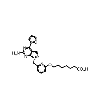 Nc1nc(-c2ccco2)c2cnn(Cc3cccc(OCCCCCCC(=O)O)n3)c2n1